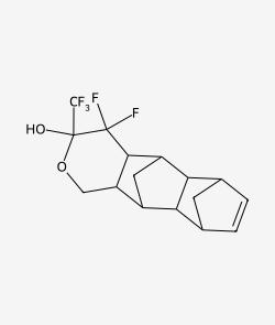 OC1(C(F)(F)F)OCC2C3CC(C4C5C=CC(C5)C34)C2C1(F)F